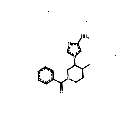 CC1CCN(C(=O)c2ccccc2)CC1n1cnc(N)c1